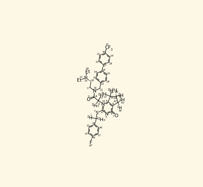 [2H]C([2H])(Sc1nc(=O)c2c(n1C([2H])([2H])C(=O)N(CCN(CC)CC)Cc1ccc(-c3ccc(C(F)(F)F)cc3)cc1)C([2H])([2H])C([2H])([2H])C2([2H])[2H])c1ccc(F)cc1